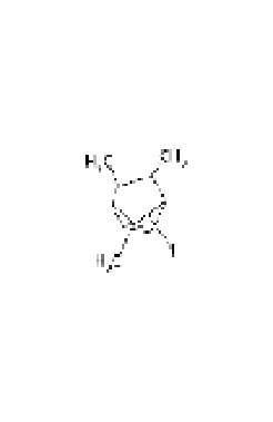 CC1C(C)C2C=CC1C(C)C2I